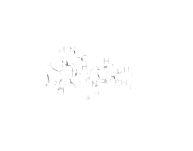 C[C@H](N)c1nc2cccc(Cl)c2c(=O)n1CC1CCCN1C(=O)OC(C)(C)C